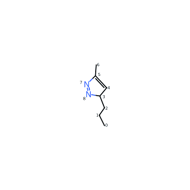 CCCC1C=C(C)N=N1